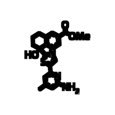 COC(=O)c1ccc2c(c1)CCCC2(O)c1ncc(-c2cc(C)cc(N)n2)s1